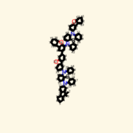 CC1(C)c2ccccc2-c2ccc(N3c4ccccc4B4c5ccccc5N(c5ccc6oc7cc(-c8cc(N9c%10ccccc%10B%10c%11ccccc%11N(c%11ccc%12oc%13ccccc%13c%12c%11)c%11cccc9c%11%10)c9oc%10ccccc%10c9c8)ccc7c6c5)c5cccc3c54)cc21